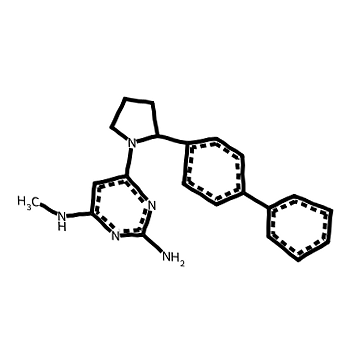 CNc1cc(N2CCCC2c2ccc(-c3ccccc3)cc2)nc(N)n1